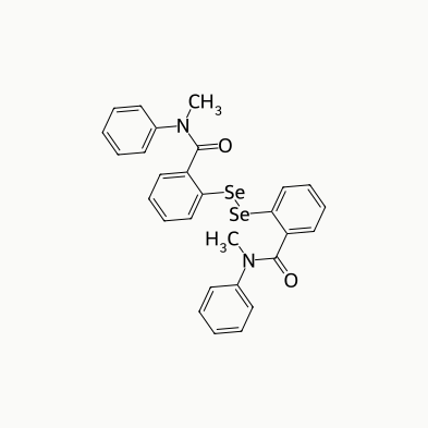 CN(C(=O)c1ccccc1[Se][Se]c1ccccc1C(=O)N(C)c1ccccc1)c1ccccc1